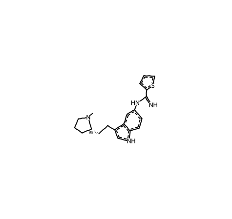 CN1CCC[C@H]1CCc1c[nH]c2ccc(NC(=N)c3cccs3)cc12